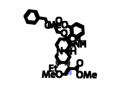 CC[C@@H]1CN2CC[C@]3(OCC(=O)OCc4ccccc4)c4c(cccc4OC)N[C@]3(C)[C@@H]2C[C@@H]1/C(=C\OC)C(=O)OC